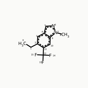 CCc1cc2cnn(C)c2cc1C(F)(F)F